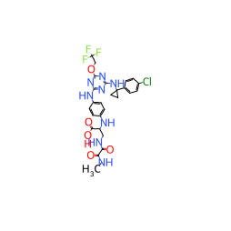 CNC(=O)C(=O)NCC(Nc1ccc(Nc2nc(NC3(c4ccc(Cl)cc4)CC3)nc(OCC(F)(F)F)n2)cc1)C(=O)O